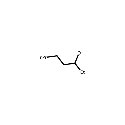 CCCCCC([O])CC